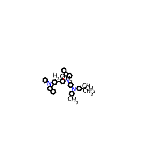 Cc1ccc(N(c2ccc(N(c3ccc(-c4ccc5c(c4)c4c6ccccc6ccc4n5-c4ccccc4)cc3)c3cccc4c3C(C)(C)c3ccccc3-4)cc2)c2ccc(C(C)(C)C)cc2)cc1